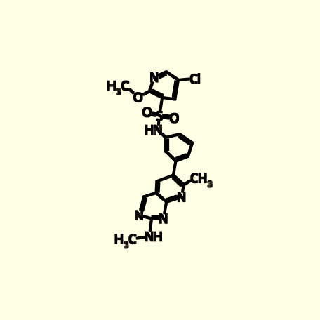 CNc1ncc2cc(-c3cccc(NS(=O)(=O)c4cc(Cl)cnc4OC)c3)c(C)nc2n1